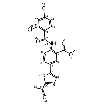 COC(=O)c1cc(-c2ccc(C(C)=O)s2)ccc1NC(=O)c1ccc(Cl)cc1Cl